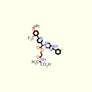 CCCOc1ccc(-c2ccc(C(C(=O)OCCC(=O)NC(C)C(=O)O)N3Cc4nc(-c5cccc(F)c5F)[nH]c4C=N3)cn2)c(C(F)(F)F)c1